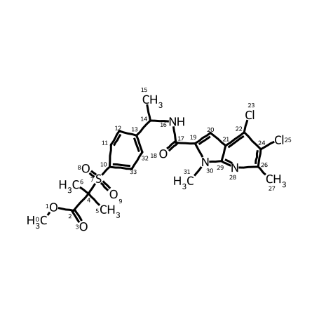 COC(=O)C(C)(C)S(=O)(=O)c1ccc(C(C)NC(=O)c2cc3c(Cl)c(Cl)c(C)nc3n2C)cc1